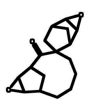 O=C1C2CC(CCCCC13CC1CC3C3OC13)C1OC21